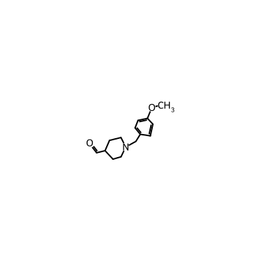 COc1ccc(CN2CCC(C=O)CC2)cc1